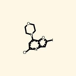 Clc1cc(N2CCOCC2)c2oc(I)cc2n1